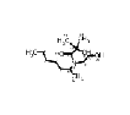 CCCCCC(C)N(CCO)C(=O)C(C)(C)C